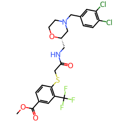 COC(=O)c1ccc(SCC(=O)NC[C@H]2CN(Cc3ccc(Cl)c(Cl)c3)CCO2)c(C(F)(F)F)c1